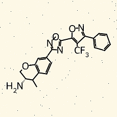 CC1c2ccc(-c3noc(-c4onc(-c5ccccc5)c4C(F)(F)F)n3)cc2OC[C@H]1N